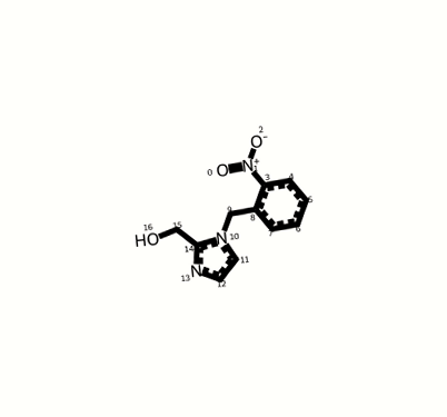 O=[N+]([O-])c1ccccc1Cn1ccnc1CO